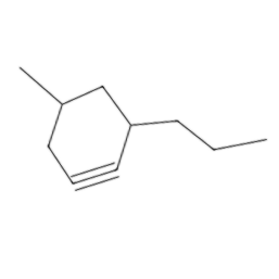 CCCC1C#CCC(C)C1